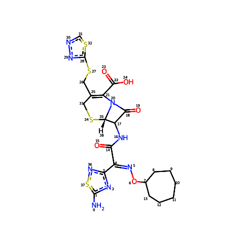 Nc1nc(C(=NOC2CCCCCC2)C(=O)NC2C(=O)N3C(C(=O)O)=C(CSc4nncs4)CS[C@@H]23)ns1